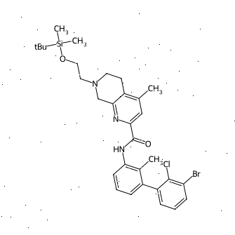 Cc1cc(C(=O)Nc2cccc(-c3cccc(Br)c3Cl)c2C)nc2c1CCN(CCO[Si](C)(C)C(C)(C)C)C2